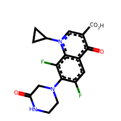 O=C1CN(c2c(F)cc3c(=O)c(C(=O)O)cn(C4CC4)c3c2F)CCN1